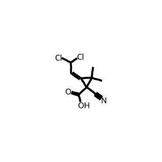 CC1(C)C(=CC(Cl)Cl)C1(C#N)C(=O)O